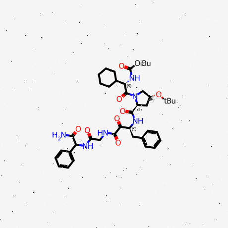 CC(C)COC(=O)N[C@H](C(=O)N1C[C@H](OC(C)(C)C)C[C@H]1C(=O)N[C@@H](Cc1ccccc1)C(=O)C(=O)NCC(=O)NC(C(N)=O)c1ccccc1)C1CCCCC1